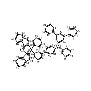 c1ccc(-c2cc(-c3ccccc3)cc(N(c3ccccc3)c3ccc(-c4cccc5c4-c4ccccc4C54c5ccc6ccccc6c5Oc5c4ccc4ccccc54)cc3)c2)cc1